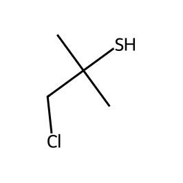 CC(C)(S)CCl